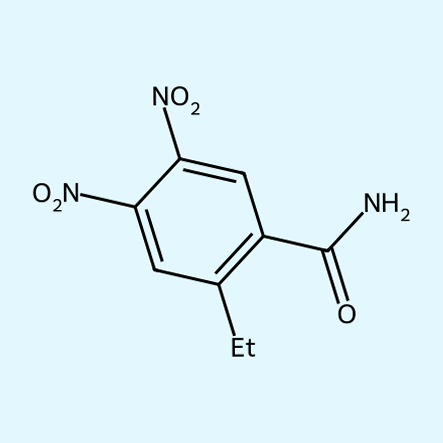 CCc1cc([N+](=O)[O-])c([N+](=O)[O-])cc1C(N)=O